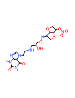 Cn1c(=O)c2c(ncn2CCNCC(O)CON=C2COC3C(O[N+](=O)[O-])COC23)n(C)c1=O